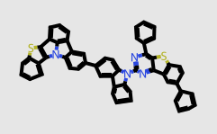 c1ccc(-c2ccc3sc4c(-c5ccccc5)nc(-n5c6ccccc6c6cc(-c7ccc8c(c7)c7cccc9c%10sc%11ccccc%11c%10n8c79)ccc65)nc4c3c2)cc1